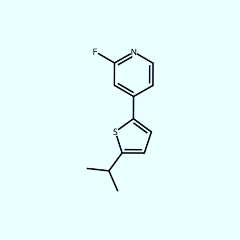 CC(C)c1ccc(-c2ccnc(F)c2)s1